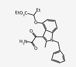 CCOC(=O)C(CC)Oc1cccc2c1c(C(=O)C(N)=O)c(C)n2Cc1ccccc1